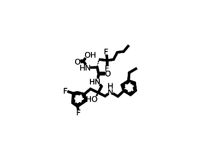 CCCCC(F)(F)C[C@@H](NC(=O)O)C(=O)NC[C@](O)(CNCc1cccc(CC)c1)Cc1cc(F)cc(F)c1